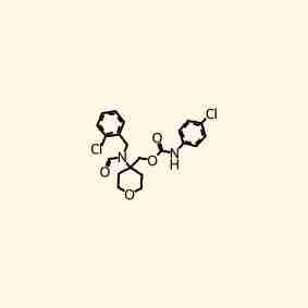 O=CN(Cc1ccccc1Cl)C1(COC(=O)Nc2ccc(Cl)cc2)CCOCC1